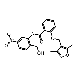 Cc1noc(C)c1COc1ccccc1C(=O)Nc1cc([N+](=O)[O-])ccc1CO